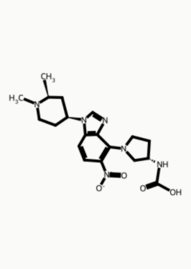 C[C@H]1C[C@@H](n2cnc3c(N4CC[C@H](NC(=O)O)C4)c([N+](=O)[O-])ccc32)CCN1C